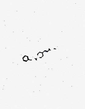 CCOC(=O)/C=C/C1CCN(C(=O)OCc2ccccc2)CC1